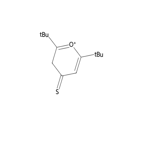 CC(C)(C)C1=CC(=S)CC(C(C)(C)C)=[O+]1